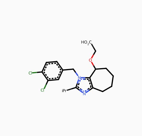 CC(C)c1nc2c(n1Cc1ccc(Cl)c(Cl)c1)C(OCC(=O)O)CCCC2